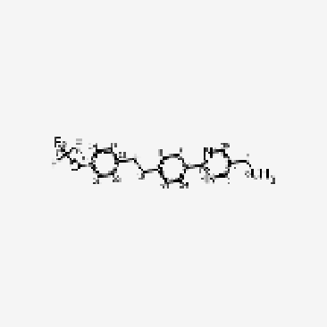 CCc1cnc(-c2ccc(CCc3ccc(OC(F)(F)F)cc3)cc2)nc1